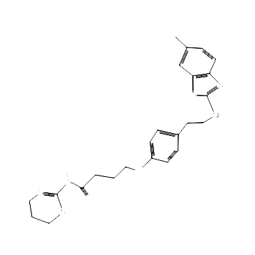 O=C(CCCOc1ccc(C[C@H](Nc2nc3ccc(F)cc3o2)C(=O)O)cc1)NC1=NCCCN1